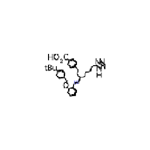 CC(C)(C)c1ccc(COc2ccccc2/C=C/C(CCCCc2nnn[nH]2)CCc2ccc(C(=O)O)cc2)cc1